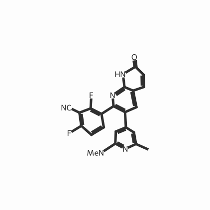 CNc1cc(-c2cc3ccc(=O)[nH]c3nc2-c2ccc(F)c(C#N)c2F)cc(C)n1